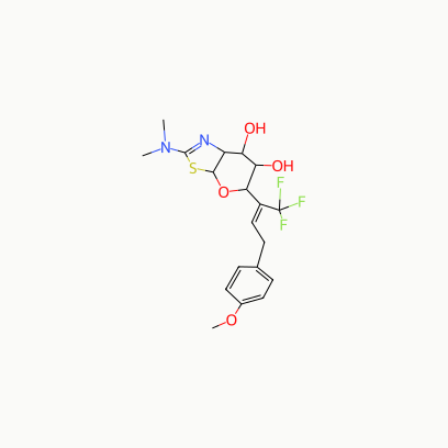 COc1ccc(CC=C(C2OC3SC(N(C)C)=NC3C(O)C2O)C(F)(F)F)cc1